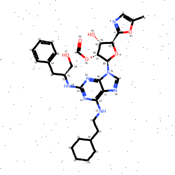 Cc1cnc([C@H]2O[C@@H](n3cnc4c(NCCC5CCCCC5)nc(N[C@H](CO)Cc5ccccc5)nc43)[C@H](OC=O)[C@@H]2O)o1